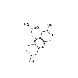 Cc1cc(CC(=O)O)c(C)c(CC(=O)O)c1CC(=O)O